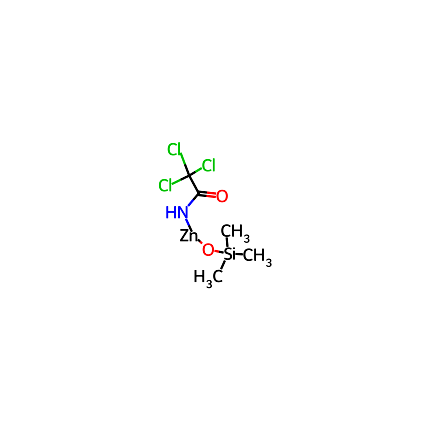 C[Si](C)(C)[O][Zn][NH]C(=O)C(Cl)(Cl)Cl